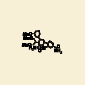 COCC(COC)c1c(-c2cccc(OC)c2)cc2c([nH]c3cc(C(N)=O)ccc32)c1C(N)=O